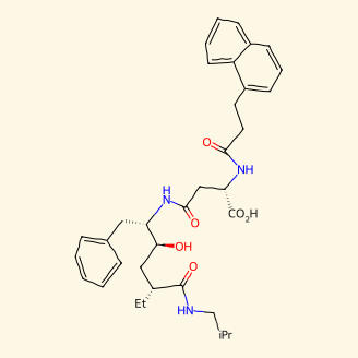 CC[C@H](C[C@H](O)[C@H](Cc1ccccc1)NC(=O)C[C@H](NC(=O)CCc1cccc2ccccc12)C(=O)O)C(=O)NCC(C)C